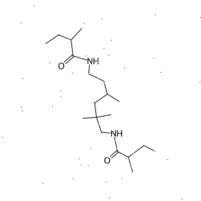 CCC(C)C(=O)NCCC(C)CC(C)(C)CNC(=O)C(C)CC